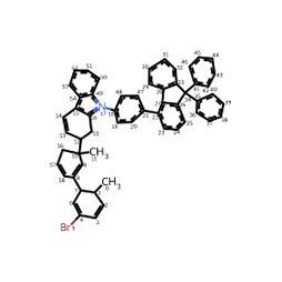 CC1C=CC(Br)=CC1C1=CC(C)(C2C=Cc3c(n(-c4ccc(-c5cccc6c5-c5ccccc5C6(c5ccccc5)c5ccccc5)cc4)c4ccccc34)C2)CC=C1